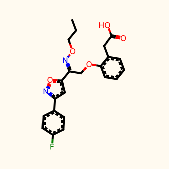 CCCON=C(COc1ccccc1CC(=O)O)c1cc(-c2ccc(F)cc2)no1